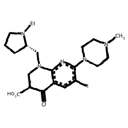 CCN1CCC[C@H]1CN1CC(C(=O)O)C(=O)c2cc(I)c(N3CCN(C)CC3)nc21